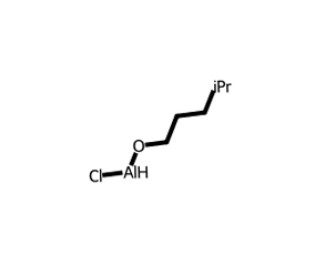 CC(C)CCC[O][AlH][Cl]